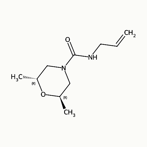 C=CCNC(=O)N1C[C@@H](C)O[C@H](C)C1